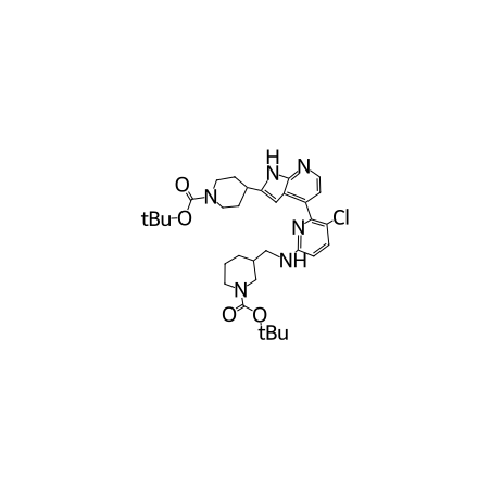 CC(C)(C)OC(=O)N1CCC(c2cc3c(-c4nc(NCC5CCCN(C(=O)OC(C)(C)C)C5)ccc4Cl)ccnc3[nH]2)CC1